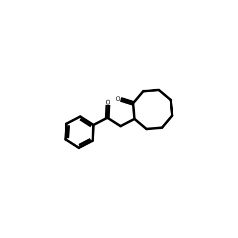 O=C(CC1CCCCCCC1=O)c1ccccc1